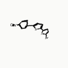 [C-]#[N+]c1ccc(-c2ccc(-c3ccc(Br)s3)s2)cc1